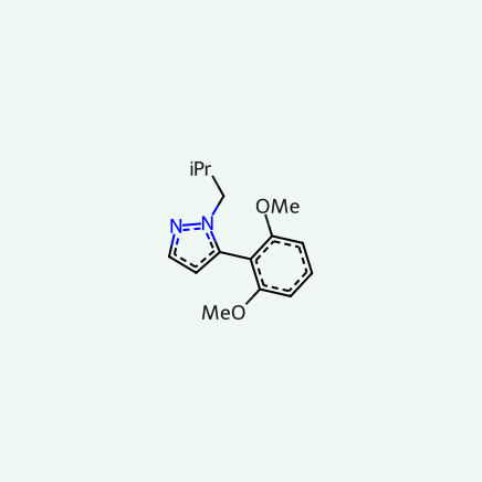 COc1cccc(OC)c1-c1ccnn1CC(C)C